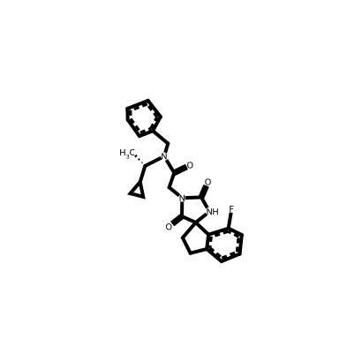 C[C@@H](C1CC1)N(Cc1ccccc1)C(=O)CN1C(=O)NC2(CCc3cccc(F)c32)C1=O